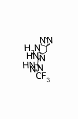 Nc1[nH]c(-c2nc(C(F)(F)F)n[nH]2)nc1Cc1cncnc1